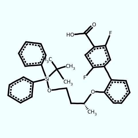 C[C@H](CCO[Si](c1ccccc1)(c1ccccc1)C(C)(C)C)Oc1ccccc1-c1cc(F)c(C(=O)O)cc1F